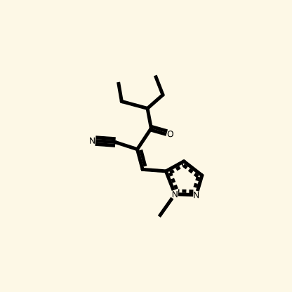 CCC(CC)C(=O)C(C#N)=Cc1ccnn1C